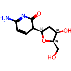 NC1=NC(=O)C([C@H]2C[C@@H](O)[C@@H](CO)O2)C=C1